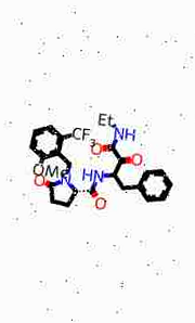 CCNC(=O)C(=O)C(Cc1ccccc1)NC(=O)[C@@H]1CCC(=O)N1Cc1c(OC)cccc1C(F)(F)F